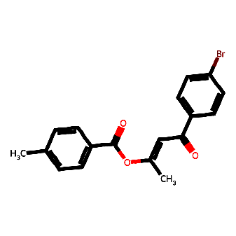 C/C(=C\C(=O)c1ccc(Br)cc1)OC(=O)c1ccc(C)cc1